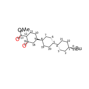 CCCC[C@H]1CC[C@H]([C@H]2CC[C@H](C3CCC(C(=O)OC)C(=O)C3)CC2)CC1